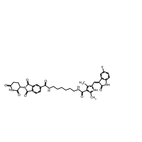 Cc1[nH]c(C=C2C(=O)Nc3ccc(F)cc32)c(C)c1C(=O)NCCCCCCNC(=O)c1ccc2c(c1)C(=O)N(C1CCC(=O)NC1=O)C2=O